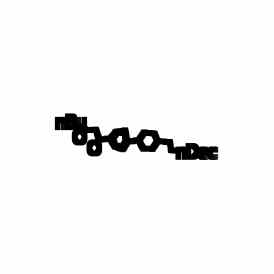 CCCCCCCCCCCCC1CCC(c2ccc(C(=O)CC(=O)CCCC)cc2)CC1